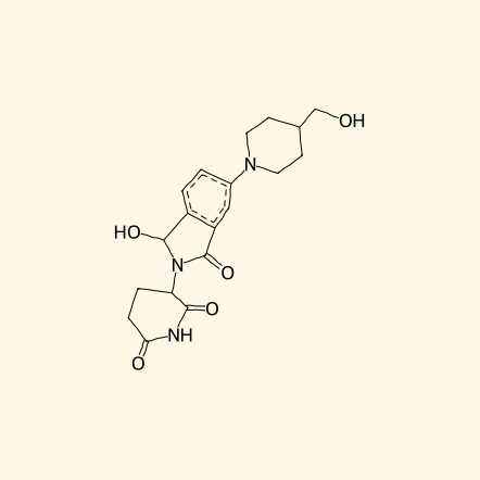 O=C1CCC(N2C(=O)c3cc(N4CCC(CO)CC4)ccc3C2O)C(=O)N1